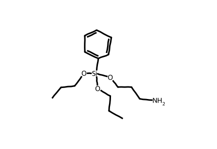 CCCO[Si](OCCC)(OCCCN)c1ccccc1